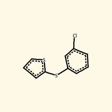 Clc1cccc(Sc2cccs2)c1